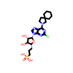 O=P(O)(O)CCC[C@H]1O[C@@H](n2cnc3c(N4CCC5(CCCCC5)C4)nc(Cl)nc32)[C@@H](O)C1O